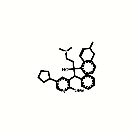 COc1ncc(C2CCCC2)cc1C(c1ccccc1)C(O)(CCN(C)C)c1cccc2c1C=CC(C)C2